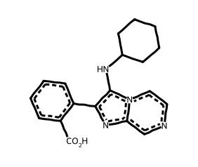 O=C(O)c1ccccc1-c1nc2cnccn2c1NC1CCCCC1